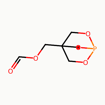 O=COCC12COP(OC1)OC2